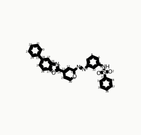 O=S(=O)(Nc1cccc(N=NC2C=C(c3nc4cc(-c5ccccc5)ccc4o3)C=CO2)c1)c1ccccc1